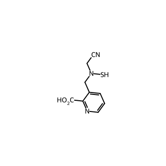 N#CCN(S)Cc1cccnc1C(=O)O